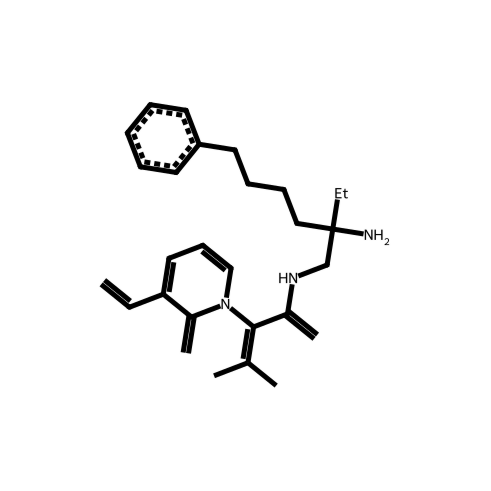 C=CC1=CC=CN(C(C(=C)NCC(N)(CC)CCCCc2ccccc2)=C(C)C)C1=C